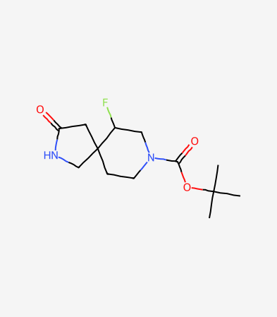 CC(C)(C)OC(=O)N1CCC2(CNC(=O)C2)C(F)C1